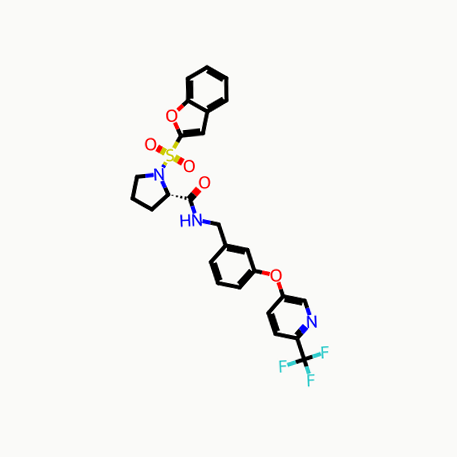 O=C(NCc1cccc(Oc2ccc(C(F)(F)F)nc2)c1)[C@@H]1CCCN1S(=O)(=O)c1cc2ccccc2o1